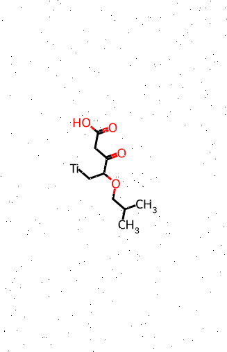 CC(C)COC([CH2][Ti])C(=O)CC(=O)O